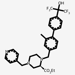 CCOC(=O)[C@H]1CN(Cc2ccncc2)CCN1Cc1ccc(-c2ccc(C(O)(C(F)(F)F)C(F)(F)F)cc2)c(C)c1